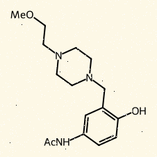 COCCN1CCN(Cc2cc(NC(C)=O)ccc2O)CC1